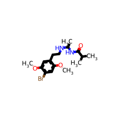 COc1cc(CCNC(C)NC(=O)C(C)C)c(OC)cc1Br